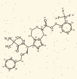 CC(C)(N)C(=O)N[C@H](COCc1ccccc1)c1nnc2n1CCCN(C(=O)OCc1ccccc1C(F)(F)F)C2